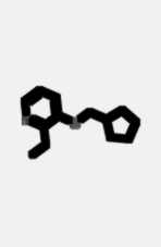 CCc1ncccc1OCC1CCCC1